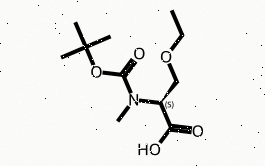 CCOC[C@@H](C(=O)O)N(C)C(=O)OC(C)(C)C